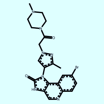 Cc1nn(CC(=O)N2CCN(C)CC2)cc1-n1c(=O)[nH]c2cnc3ccc(Br)cc3c21